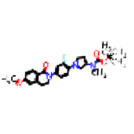 COc1ccc2c(c1)CCN(c1ccc(N3CC[C@@H](N(C)C(=O)OC(C)(C)C)C3)c(F)c1)C2=O